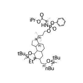 CCCC[C@H](CC1CC2CC[C@@]3(C)C(CC[C@@H]3[C@H](C)CCOP(=O)(N[C@@H](C)C(=O)OC(C)C)Oc3ccccc3)C2C(O[Si](C)(C)C(C)(C)C)[C@@H]1CC)O[Si](C)(C)C(C)(C)C